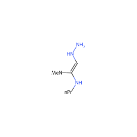 CCCN/C(=C/NN)NC